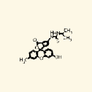 Cc1ccc2c(c1)Oc1cc(O)ccc1C21OC(=O)c2cc(NC(=S)NC(C)C)ccc21